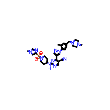 Cc1cc(CN2CCN(C)CC2)ccc1-n1cc(-c2nc(NC3CCN(S(=O)(=O)c4cn(C)cn4)CC3)ncc2C#N)cn1